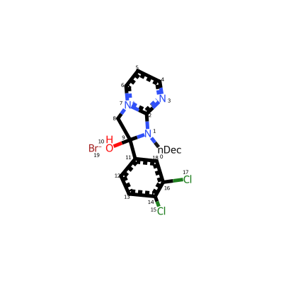 CCCCCCCCCCN1c2nccc[n+]2CC1(O)c1ccc(Cl)c(Cl)c1.[Br-]